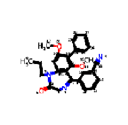 CCCN1C(=O)CN=C(c2cccc(C#N)c2)c2c1cc(OC)c(-c1ccccc1)c2OC